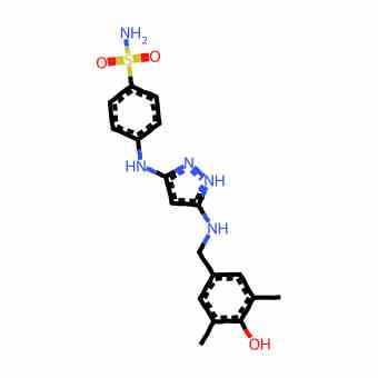 Cc1cc(CNc2cc(Nc3ccc(S(N)(=O)=O)cc3)n[nH]2)cc(C)c1O